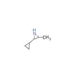 CC1NC1C1CC1